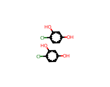 Oc1ccc(Cl)c(O)c1.Oc1ccc(Cl)c(O)c1